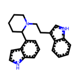 c1ccc2c(CCN3CCCCC3c3cccc4[nH]ccc34)c[nH]c2c1